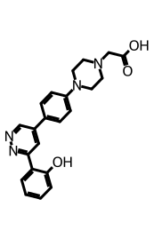 O=C(O)CN1CCN(c2ccc(-c3cnnc(-c4ccccc4O)c3)cc2)CC1